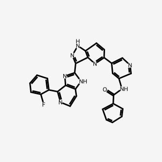 O=C(Nc1cncc(-c2ccc3[nH]nc(-c4nc5c(-c6ccccc6F)nccc5[nH]4)c3n2)c1)c1ccccc1